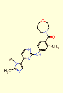 Cc1cc(Nc2nccc(-c3cnc(C)n3C(C)C)n2)ccc1C(=O)N1CCCOCC1